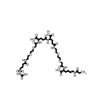 CCC(=O)NCCCCC(NC(=O)COCCOCCNC(=O)CCC(NC(=O)CCC(NC(=O)COCCOCCNC(=O)CCCS(=O)(=O)NC(=O)S)C(=O)O)C(=O)O)C(=O)O